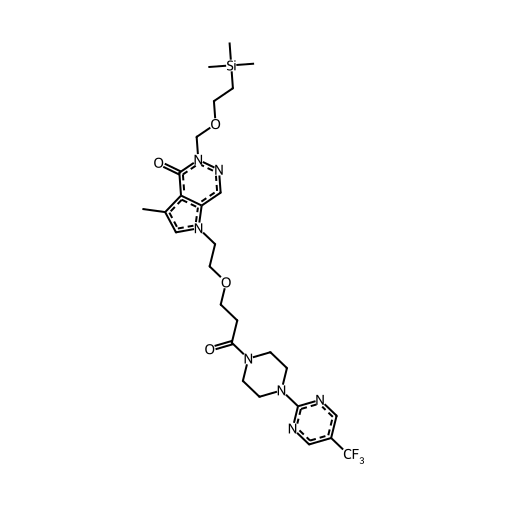 Cc1cn(CCOCCC(=O)N2CCN(c3ncc(C(F)(F)F)cn3)CC2)c2cnn(COCC[Si](C)(C)C)c(=O)c12